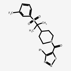 CC(C)c1nnsc1C(=O)N1CCC(C(C)(C)S(=O)(=O)c2cccc(C(F)(F)F)c2)CC1